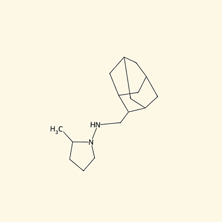 CC1CCCN1NCC1C2CC3CC(C2)CC1C3